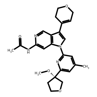 CO[C@@]1(c2cc(C)cc(-n3cc(C4=CCOCC4)c4cnc(NC(C)=O)cc43)n2)CCOC1